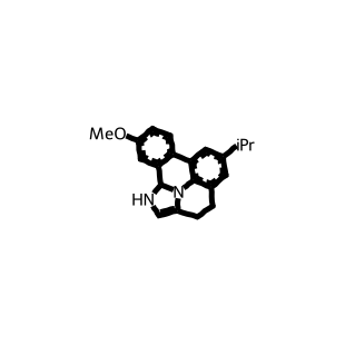 COc1ccc2c(c1)C1NC=C3CCc4cc(C(C)C)cc-2c4N31